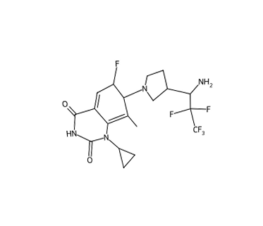 CC1=c2c(c(=O)[nH]c(=O)n2C2CC2)=CC(F)C1N1CCC(C(N)C(F)(F)C(F)(F)F)C1